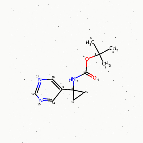 CC(C)(C)OC(=O)NC1(c2cncnc2)CC1